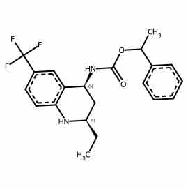 CC[C@@H]1C[C@H](NC(=O)OC(C)c2ccccc2)c2cc(C(F)(F)F)ccc2N1